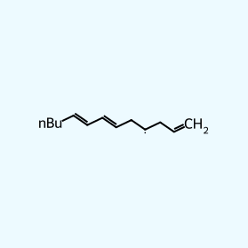 C=CC[CH]CC=CC=CCCCC